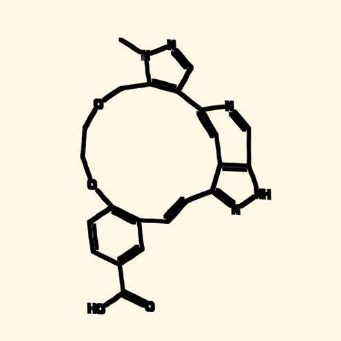 Cn1ncc2c1COCCOc1ccc(C(=O)O)cc1/C=C/c1n[nH]c3cnc-2cc13